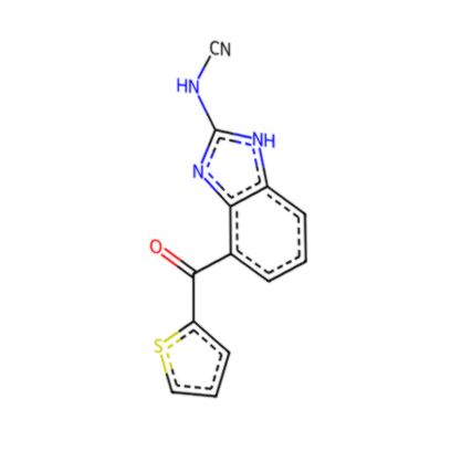 N#CNc1nc2c(C(=O)c3cccs3)cccc2[nH]1